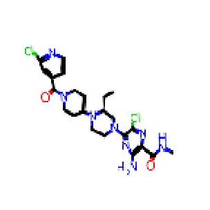 CC[C@H]1CN(c2nc(N)c(C(=O)NC)nc2Cl)CCN1C1CCN(C(=O)c2ccnc(Cl)c2)CC1